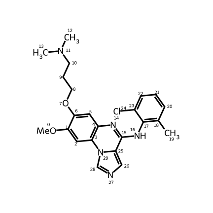 COc1cc2c(cc1OCCCN(C)C)nc(Nc1c(C)cccc1Cl)c1cncn12